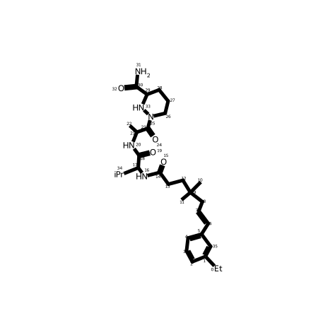 CCc1cccc(/C=C/CC(C)(C)CCC(=O)NC(C(=O)NC(C)C(=O)N2CCCC(C(N)=O)N2)C(C)C)c1